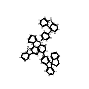 c1ccc2c(c1)CCC21c2ccccc2-c2ccc(-c3ccc(N(c4ccc(-c5cccc6oc7ccccc7c56)cc4)c4ccccc4-c4cccc5c4oc4ccccc45)cc3)cc21